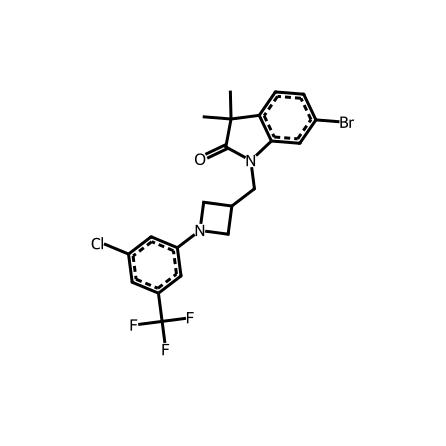 CC1(C)C(=O)N(CC2CN(c3cc(Cl)cc(C(F)(F)F)c3)C2)c2cc(Br)ccc21